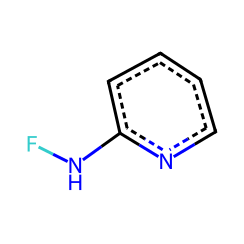 FNc1ccccn1